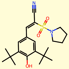 CC(C)(C)c1cc(/C=C(/C#N)S(=O)(=O)N2CCCC2)cc(C(C)(C)C)c1O